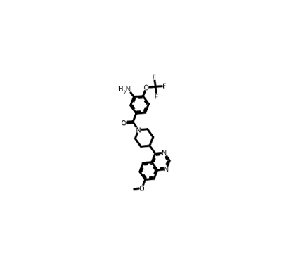 COc1ccc2c(C3CCN(C(=O)c4ccc(OC(F)(F)F)c(N)c4)CC3)ncnc2c1